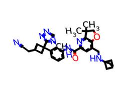 Cn1cnnc1C1(c2cccc(NC(=O)c3cc(CNC45CC(C4)C5)c4c(n3)C(C)(C)CO4)c2)CC(CC#N)C1